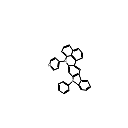 c1ccc(-n2c3ccccc3c3cc4c(cc32)N(c2ccncc2)c2cccc3cccc-4c23)cc1